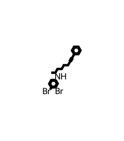 CC(CCCCC#Cc1ccccc1)Nc1ccc(Br)c(Br)c1